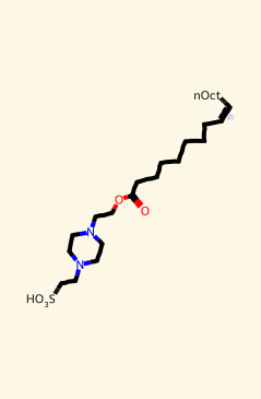 CCCCCCCC/C=C\CCCCCCCC(=O)OCCN1CCN(CCS(=O)(=O)O)CC1